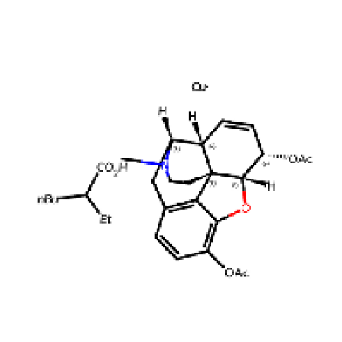 CC(=O)Oc1ccc2c3c1O[C@H]1[C@@H](OC(C)=O)C=C[C@H]4[C@@H](C2)N(C)CC[C@@]341.CCCCC(CC)C(=O)O.[Cu]